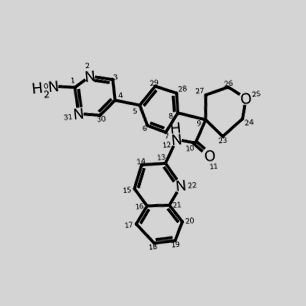 Nc1ncc(-c2ccc(C3(C(=O)Nc4ccc5ccccc5n4)CCOCC3)cc2)cn1